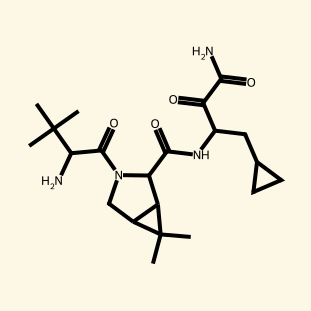 CC(C)(C)C(N)C(=O)N1CC2C(C1C(=O)NC(CC1CC1)C(=O)C(N)=O)C2(C)C